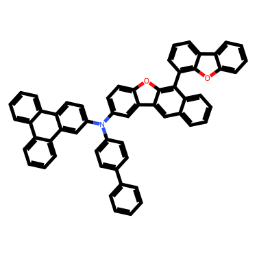 c1ccc(-c2ccc(N(c3ccc4oc5c(-c6cccc7c6oc6ccccc67)c6ccccc6cc5c4c3)c3ccc4c5ccccc5c5ccccc5c4c3)cc2)cc1